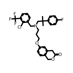 CC(C)(CN(CCCOc1ccc2c(c1)CC(=O)OC2)Cc1cccc(C(F)(F)F)c1Cl)c1ccc(F)cc1